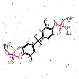 CCCSP(=S)(OCC)Oc1ccc(C(C)(C)c2ccc(OP(=S)(OCC)SCCC)c(C)c2)cc1C